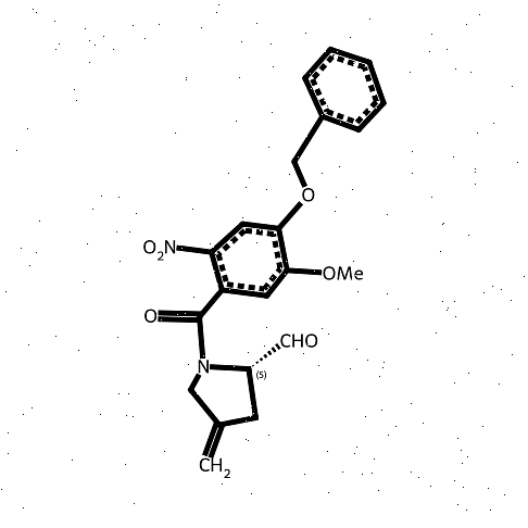 C=C1C[C@@H](C=O)N(C(=O)c2cc(OC)c(OCc3ccccc3)cc2[N+](=O)[O-])C1